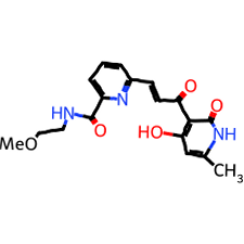 COCCNC(=O)c1cccc(C=CC(=O)c2c(O)cc(C)[nH]c2=O)n1